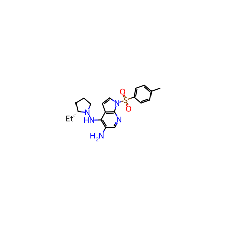 CC[C@@H]1CCCN1Nc1c(N)cnc2c1ccn2S(=O)(=O)c1ccc(C)cc1